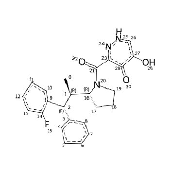 C[C@H]([C@H](c1ccccc1)c1ccccc1F)[C@H]1CCCN1C(=O)c1n[nH]cc(O)c1=O